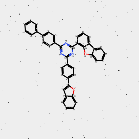 c1ccc(-c2ccc(-c3nc(-c4ccc(-c5cc6ccccc6o5)cc4)nc(-c4cccc5c4oc4ccccc45)n3)cc2)cc1